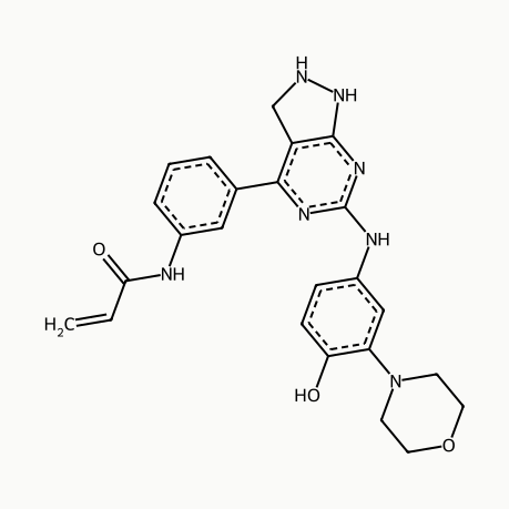 C=CC(=O)Nc1cccc(-c2nc(Nc3ccc(O)c(N4CCOCC4)c3)nc3c2CNN3)c1